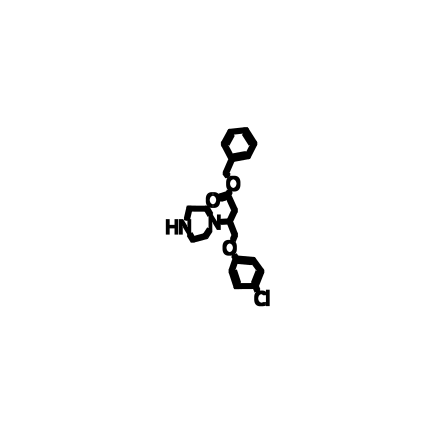 O=C(CC(COc1ccc(Cl)cc1)N1CCNCC1)OCc1ccccc1